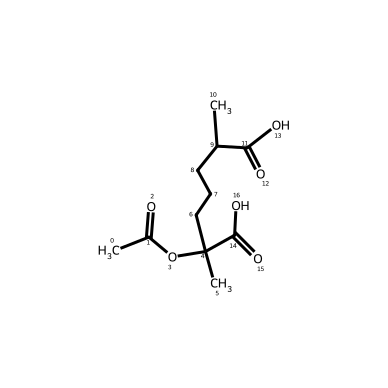 CC(=O)OC(C)(CCCC(C)C(=O)O)C(=O)O